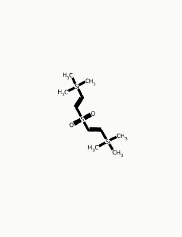 C[Si](C)(C)C=CS(=O)(=O)C=C[Si](C)(C)C